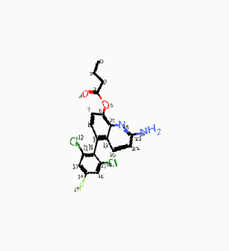 CCCC(=O)Oc1ccc(-c2c(Cl)cc(F)cc2Cl)c2ccc(N)nc12